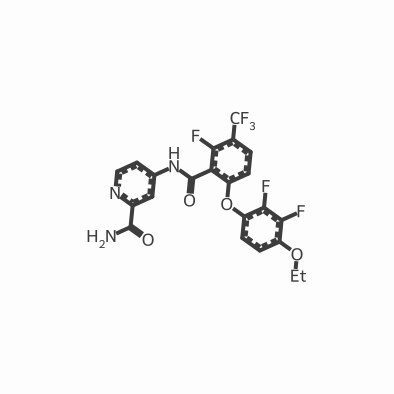 CCOc1ccc(Oc2ccc(C(F)(F)F)c(F)c2C(=O)Nc2ccnc(C(N)=O)c2)c(F)c1F